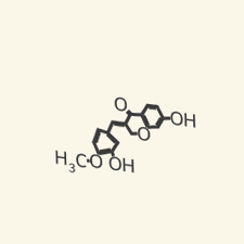 COc1ccc(/C=C2\COc3cc(O)ccc3C2=O)cc1O